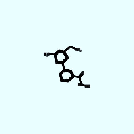 NCc1cc(-c2cccc(C(=O)NO)c2)nc(C(F)(F)F)c1